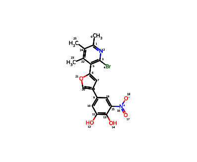 Cc1nc(Br)c(-c2cc(-c3cc(O)c(O)c([N+](=O)[O-])c3)co2)c(C)c1C